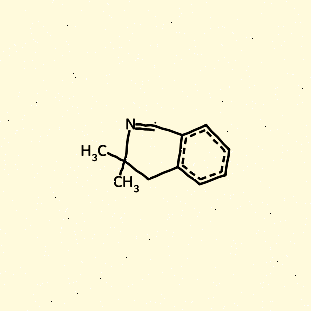 CC1(C)Cc2ccccc2[C]=N1